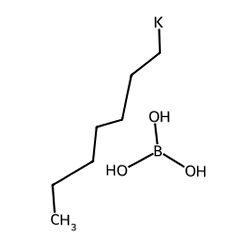 CCCCCC[CH2][K].OB(O)O